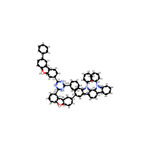 c1ccc(-c2ccc3oc4cc(-c5nc(-c6ccccc6)nc(-c6cccc7oc8ccc(-c9ccc%10c(c9)c9ccc%11c%12ccccc%12n(-c%12ccccc%12)c%11c9n%10-c9ccccc9)cc8c67)n5)ccc4c3c2)cc1